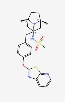 CS(=O)(=O)N[C@@H]1C[C@H]2CC[C@@H](C1)N2CCc1ccc(Oc2nc3cccnc3s2)cc1